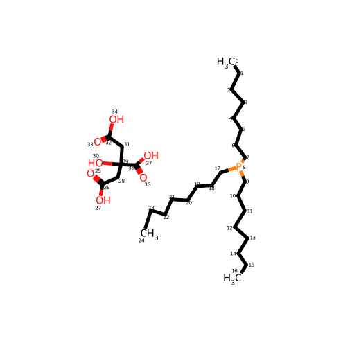 CCCCCCCCP(CCCCCCCC)CCCCCCCC.O=C(O)CC(O)(CC(=O)O)C(=O)O